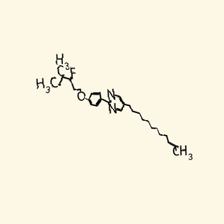 CCCCCCCCCCCCc1cnc(-c2ccc(OCCC(F)C(C)CC)cc2)nc1